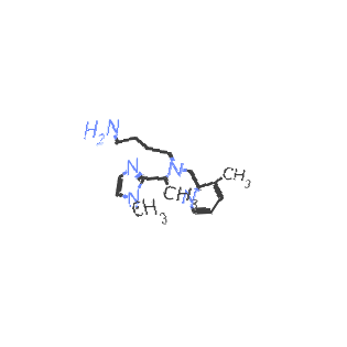 Cc1cccnc1CN(CCCCN)C(C)c1nccn1C